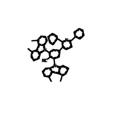 Cc1cccc2c1c1c(C)cccc1n2-c1cc(-c2ccc(-c3ccccc3)nc2-c2ccccc2)cc(-n2c3cccc(C)c3c3c(C)cccc32)c1C#N